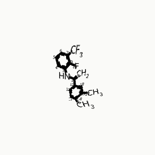 C=C(Nc1cccc(C(F)(F)F)c1F)c1ccc(C)c(C)c1